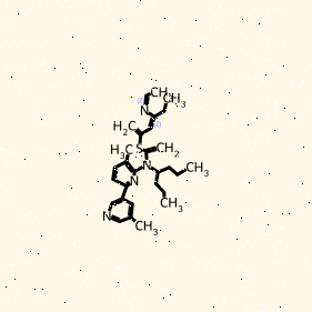 C=C(/C=C(CC)\N=C/C)SC(=C)N(c1nc(-c2cncc(C)c2)ccc1C)C(CCC)CCC